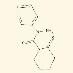 NN(C(=O)C1CCCCC1=S)c1ccccc1